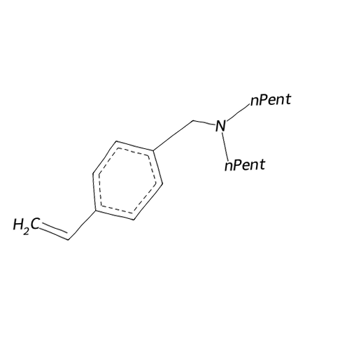 C=Cc1ccc(CN(CCCCC)CCCCC)cc1